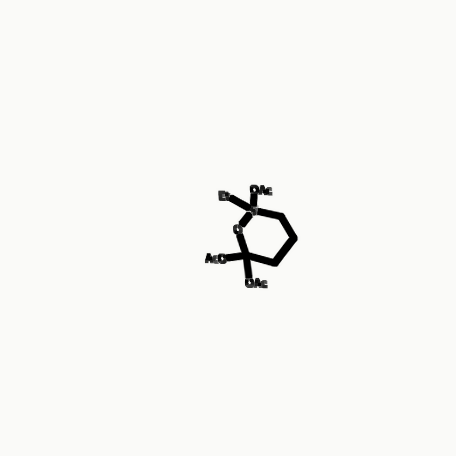 CC[Si]1(OC(C)=O)CCCC(OC(C)=O)(OC(C)=O)O1